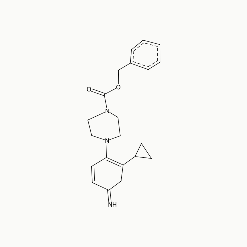 N=C1C=CC(N2CCN(C(=O)OCc3ccccc3)CC2)=C(C2CC2)C1